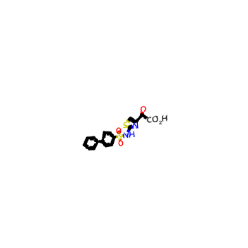 O=C(O)C(=O)c1csc(NS(=O)(=O)c2ccc(-c3ccccc3)cc2)n1